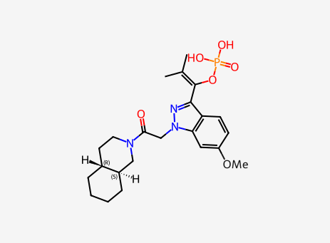 COc1ccc2c(C(OP(=O)(O)O)=C(C)C)nn(CC(=O)N3CC[C@H]4CCCC[C@@H]4C3)c2c1